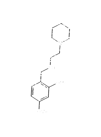 COc1ccc(CNCCN2CCCCC2)c(OC)c1